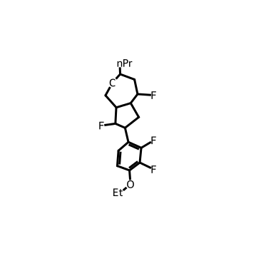 CCCC1CCC2C(F)C(c3ccc(OCC)c(F)c3F)CC2C(F)C1